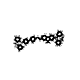 CC1(C)c2cc(/C=C/c3ccc(-c4ccc(N5c6ccccc6[Si](C)(C)c6ccccc65)cc4)cc3)ccc2-c2ccc(N3c4ccccc4[Si](C)(C)c4ccccc43)cc21